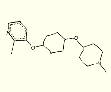 Cc1ncccc1OC1CCC(OC2CCN(C)CC2)CC1